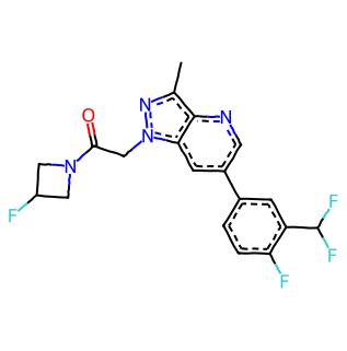 Cc1nn(CC(=O)N2CC(F)C2)c2cc(-c3ccc(F)c(C(F)F)c3)cnc12